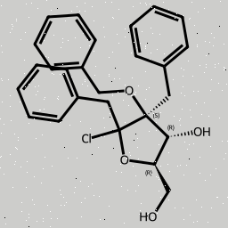 OC[C@H]1OC(Cl)(Cc2ccccc2)[C@@](Cc2ccccc2)(OCc2ccccc2)[C@@H]1O